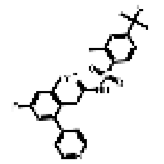 Cc1cc(C(C)(C)O)ccc1S(=O)(=O)NC(=O)Cc1c(-c2ccncc2)cc(F)cc1C(C)C